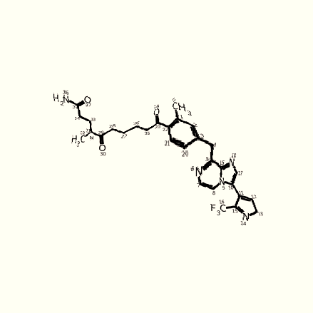 Cc1cc(Cc2nccn3c(C4=CCN=C4C(F)(F)F)cnc23)ccc1C(=O)CCCCC(=O)[C@@H](C)CCC(N)=O